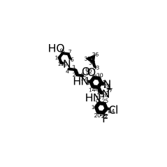 O=C(C=CCN1CCC(O)CC1)Nc1cc2c(Nc3ccc(F)c(Cl)c3)ncnc2cc1OCC1CC1